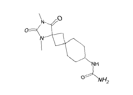 CN1C(=O)N(C)C2(CC3(CCC(NC(N)=O)CC3)C2)C1=O